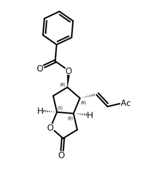 CC(=O)C=C[C@@H]1[C@H]2CC(=O)O[C@H]2C[C@H]1OC(=O)c1ccccc1